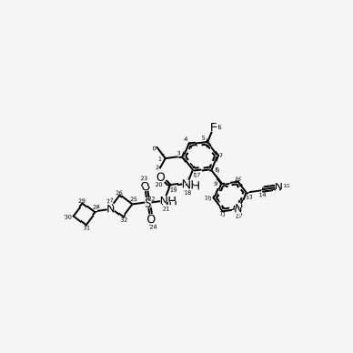 CC(C)c1cc(F)cc(-c2ccnc(C#N)c2)c1NC(=O)NS(=O)(=O)C1CN(C2CCC2)C1